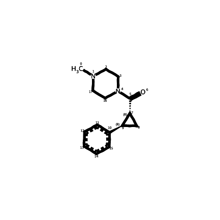 CN1CCN(C(=O)[C@@H]2C[C@H]2c2ccccc2)CC1